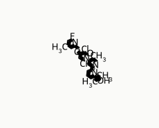 Cc1cc(F)nc(COc2cc(C)n(-c3cc(-c4cccc(C(C)(C)O)n4)ncc3C)c(=O)c2Cl)c1